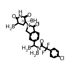 BC1C[C@](B)(N2Cc3cc(C(B)N(B)C(=O)C(F)(F)c4ccc(Cl)cc4)ccc3C2=O)C(=O)NC1=O